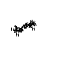 CCNS(=O)(=O)Nc1cc(CN2CCN(c3cnc(C(=O)NC)c(F)c3)C(C)C2)ccn1